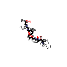 CCCCC1CCC2(CCC(C)C(C/C=C(C)/C=C/C(O)C(C)/C=C/C(=O)O)O2)OC1/C=C/C(C)=C/CC(O)CC